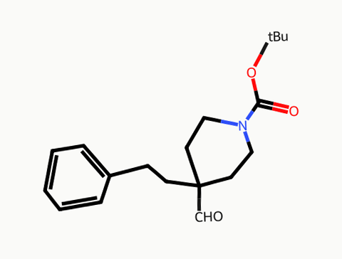 CC(C)(C)OC(=O)N1CCC(C=O)(CCc2ccccc2)CC1